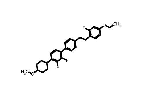 CCOc1ccc(CCc2ccc(-c3ccc(C4CCC(OC)CC4)c(F)c3F)cc2)c(F)c1